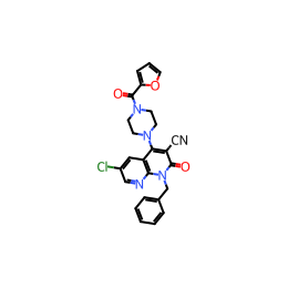 N#Cc1c(N2CCN(C(=O)c3ccco3)CC2)c2cc(Cl)cnc2n(Cc2ccccc2)c1=O